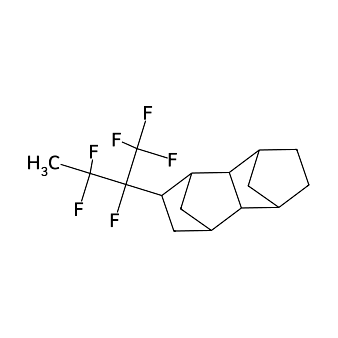 CC(F)(F)C(F)(C1CC2CC1C1C3CCC(C3)C21)C(F)(F)F